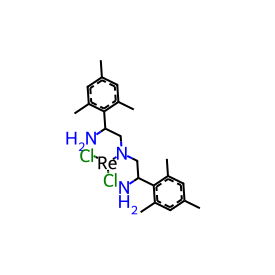 Cc1cc(C)c(C(N)C[N](CC(N)c2c(C)cc(C)cc2C)[Re]([Cl])[Cl])c(C)c1